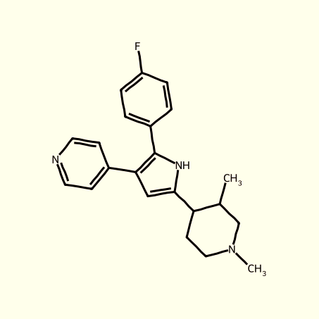 CC1CN(C)CCC1c1cc(-c2ccncc2)c(-c2ccc(F)cc2)[nH]1